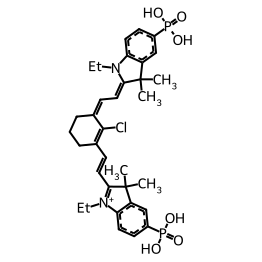 CCN1/C(=C\C=C2\CCCC(/C=C/C3=[N+](CC)c4ccc(P(=O)(O)O)cc4C3(C)C)=C2Cl)C(C)(C)c2cc(P(=O)(O)O)ccc21